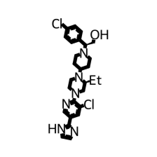 CC[C@H]1CN(c2ncc(-c3ncc[nH]3)cc2Cl)CCN1C1CCN([C@H](CO)c2ccc(Cl)cc2)CC1